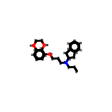 CCCN(CCCOc1cccc2c1OCCO2)C1Cc2ccccc2C1